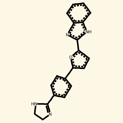 c1ccc2[nH]c(-c3ccc(-c4ccc(C5=NCCN5)cc4)o3)nc2c1